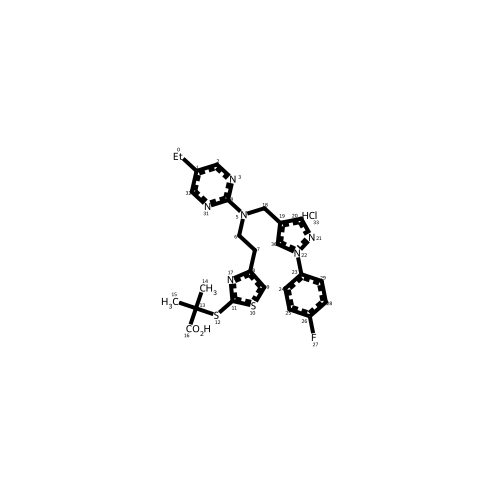 CCc1cnc(N(CCc2csc(SC(C)(C)C(=O)O)n2)Cc2cnn(-c3ccc(F)cc3)c2)nc1.Cl